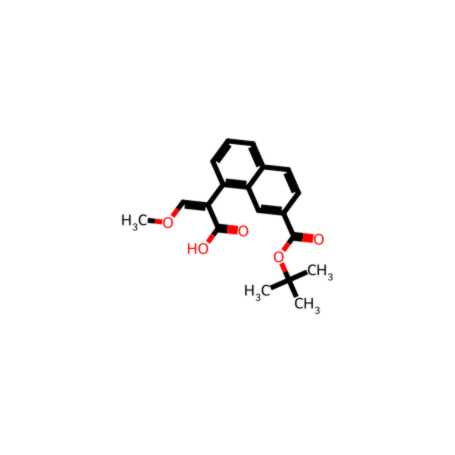 COC=C(C(=O)O)c1cccc2ccc(C(=O)OC(C)(C)C)cc12